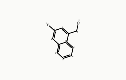 [O]Cc1cc(F)cc2ccccc12